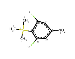 CS(C)(C)c1c(F)cc([N+](=O)[O-])cc1F